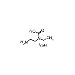 CCN(CCN)C(=O)O.[NaH]